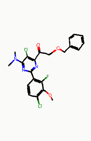 COc1c(Cl)ccc(-c2nc(C(=O)COCc3ccccc3)c(Cl)c(N(C)C)n2)c1F